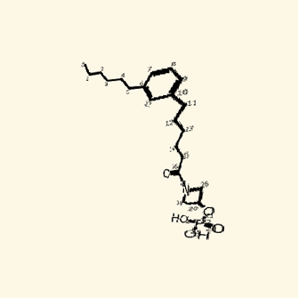 CCCCCCc1cccc(CCCCCC(=O)N2CC(OP(=O)(O)O)C2)c1